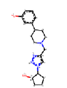 Oc1cccc(C2CCN(Cc3cn(C4CCC[C@H]4O)nn3)CC2)c1